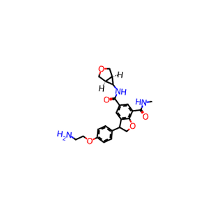 CNC(=O)c1cc(C(=O)NC2[C@H]3COC[C@@H]23)cc2c1OCC2c1ccc(OCCN)cc1